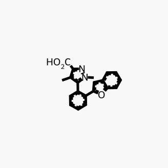 Cc1c(C(=O)O)nn(C)c1-c1ccccc1-c1cc2ccccc2o1